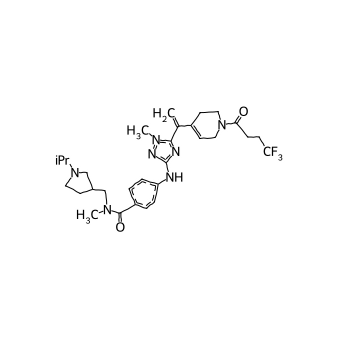 C=C(C1=CCN(C(=O)CCC(F)(F)F)CC1)c1nc(Nc2ccc(C(=O)N(C)CC3CCN(C(C)C)C3)cc2)nn1C